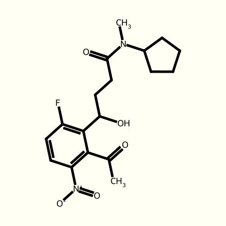 CC(=O)c1c([N+](=O)[O-])ccc(F)c1C(O)CCC(=O)N(C)C1CCCC1